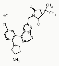 CC1(C)C2C(=O)N(Cc3cc4c(-c5cc(Cl)ccc5N5CC[C@H](N)C5)ncnn4c3)C(=O)C21.Cl